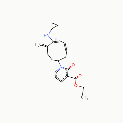 C=C1CCC(n2cccc(C(=O)OCC)c2=O)C/C=C\C=C/1NC1CC1